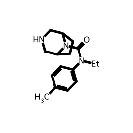 CCN(C(=O)N1C2CCC1CNC2)c1ccc(C)cc1